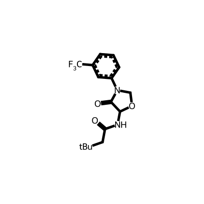 CC(C)(C)CC(=O)NC1OCN(c2cccc(C(F)(F)F)c2)C1=O